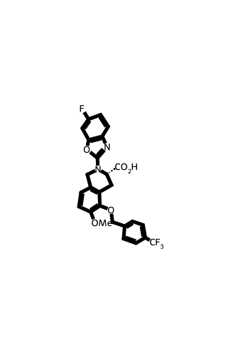 COc1ccc2c(c1OCc1ccc(C(F)(F)F)cc1)C[C@@H](C(=O)O)N(c1nc3ccc(F)cc3o1)C2